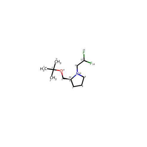 CC(C)(C)OC[C@@H]1CCCN1CC(F)F